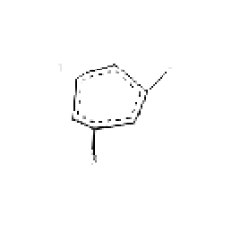 Fc1cccc(F)c1.[Ti]